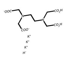 O=C([O-])CN(CCN(CC(=O)O)CC(=O)O)CC(=O)[O-].[H-].[K+].[K+].[K+]